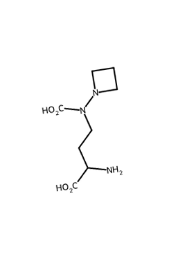 NC(CCN(C(=O)O)N1CCC1)C(=O)O